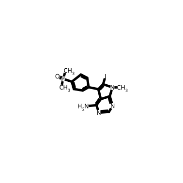 Cn1c(I)c(-c2ccc(P(C)(C)=O)cc2)c2c(N)ncnc21